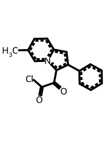 Cc1ccc2cc(-c3ccccc3)c(C(=O)C(=O)Cl)n2c1